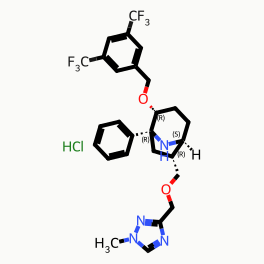 Cl.Cn1cnc(COC[C@@H]2C[C@]3(c4ccccc4)N[C@H]2CC[C@H]3OCc2cc(C(F)(F)F)cc(C(F)(F)F)c2)n1